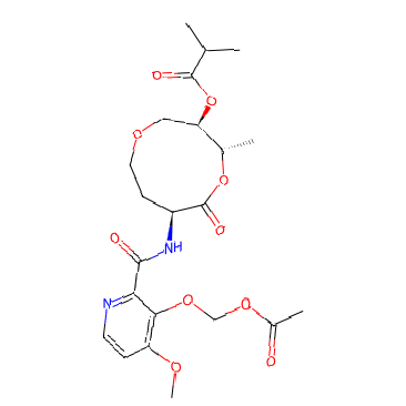 COc1ccnc(C(=O)N[C@H]2CCOC[C@@H](OC(=O)C(C)C)[C@H](C)OC2=O)c1OCOC(C)=O